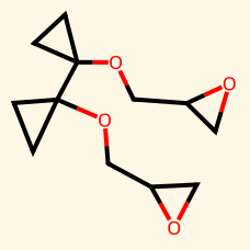 C1OC1COC1(C2(OCC3CO3)CC2)CC1